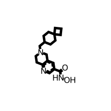 O=C(NO)c1cnc2c(c1)CN(CC1CCC3(CCC3)CC1)CC2